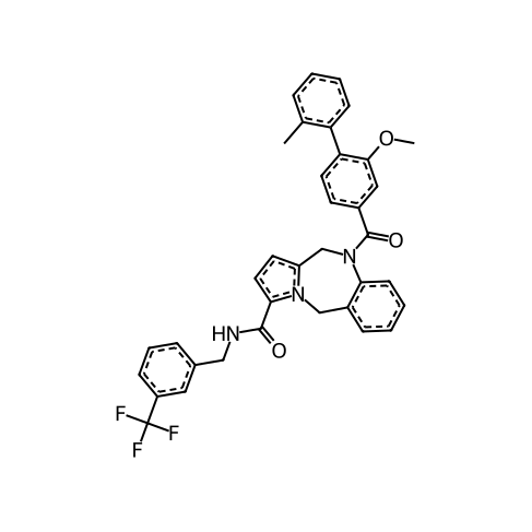 COc1cc(C(=O)N2Cc3ccc(C(=O)NCc4cccc(C(F)(F)F)c4)n3Cc3ccccc32)ccc1-c1ccccc1C